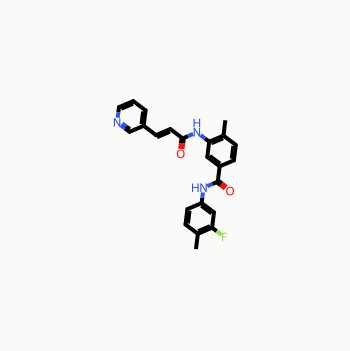 Cc1ccc(NC(=O)c2ccc(C)c(NC(=O)C=Cc3cccnc3)c2)cc1F